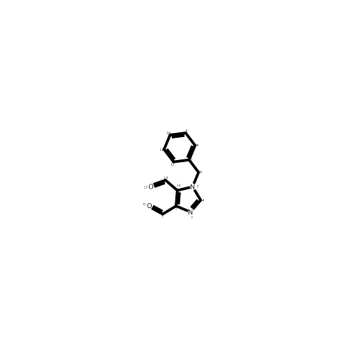 O=Cc1ncn(Cc2ccccc2)c1C=O